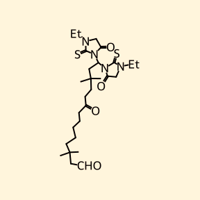 CCN1CC(=O)N(C(CC(C)(C)CCC(=O)CCCCCC(C)(C)CC=O)N2C(=O)CN(CC)C2=S)C1=S